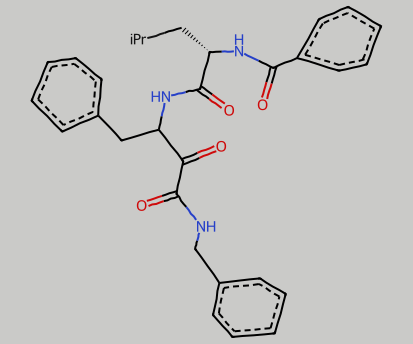 CC(C)C[C@H](NC(=O)c1ccccc1)C(=O)NC(Cc1ccccc1)C(=O)C(=O)NCc1ccccc1